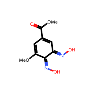 COC(=O)C1=CC(=N\O)/C(=N\O)C(OC)=C1